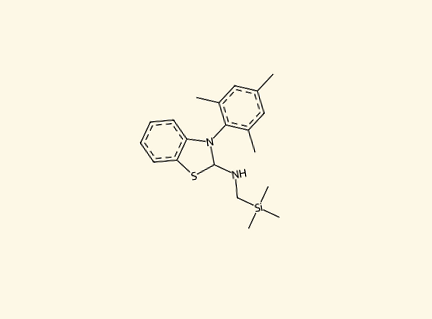 Cc1cc(C)c(N2c3ccccc3SC2NC[Si](C)(C)C)c(C)c1